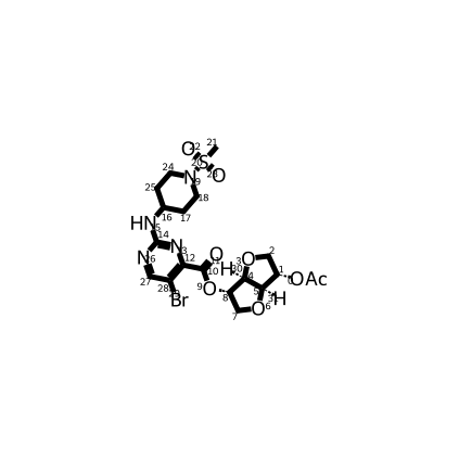 CC(=O)O[C@H]1CO[C@H]2[C@@H]1OC[C@@H]2OC(=O)c1nc(NC2CCN(S(C)(=O)=O)CC2)ncc1Br